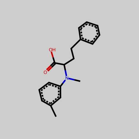 Cc1cccc(N(C)C(CCc2ccccc2)C(=O)O)c1